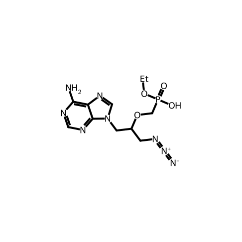 CCOP(=O)(O)COC(CN=[N+]=[N-])Cn1cnc2c(N)ncnc21